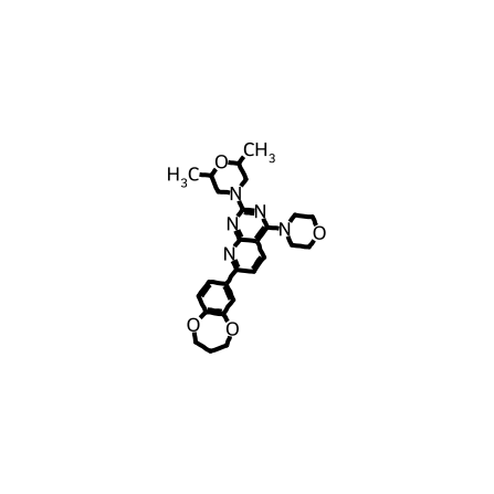 CC1CN(c2nc(N3CCOCC3)c3ccc(-c4ccc5c(c4)OCCCO5)nc3n2)CC(C)O1